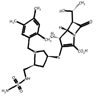 Cc1cc(C)c(CN2C[C@@H](SC3=C(C(=O)O)N4C(=O)[C@H]([C@@H](C)O)[C@H]4[C@H]3C)C[C@H]2CNS(N)(=O)=O)cc1C